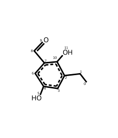 CCc1cc(O)cc(C=O)c1O